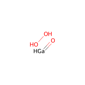 OO.[O]=[GaH]